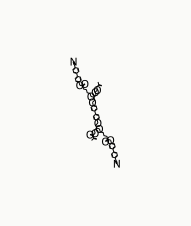 C=C(C)COOCC(COc1ccc(-c2ccc(OCC(COC(=O)C(=C)C)OCCCCC(=O)Oc3ccc(-c4ccc(C#N)cc4)cc3)cc2)cc1)OCCCCC(=O)Oc1ccc(-c2ccc(C#N)cc2)cc1